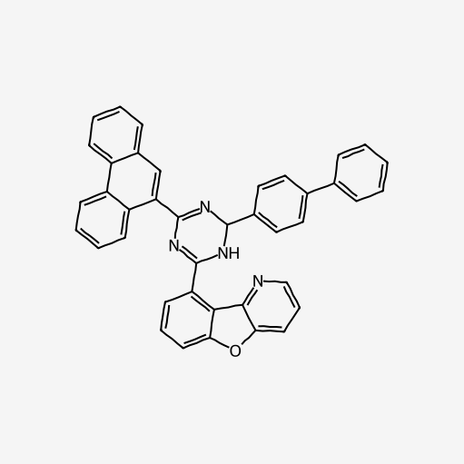 c1ccc(-c2ccc(C3N=C(c4cc5ccccc5c5ccccc45)N=C(c4cccc5oc6cccnc6c45)N3)cc2)cc1